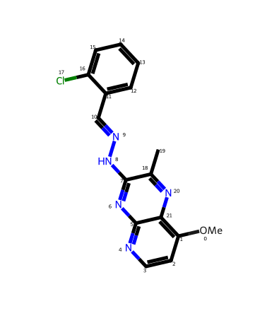 COc1ccnc2nc(NN=Cc3ccccc3Cl)c(C)nc12